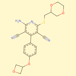 N#Cc1c(N)nc(SCC2COCCO2)c(C#N)c1-c1ccc(OC2COC2)cc1